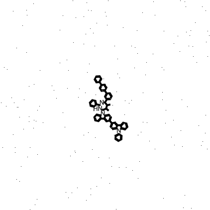 CC1C(c2cccc(-c3ccc(-c4ccccc4)cc3)c2)N=C(c2ccccc2)NC(n2c3ccccc3c3cc(-c4ccc5c(c4)c4ccccc4n5-c4ccccc4)ccc32)C1C